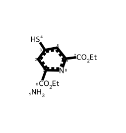 CCOC(=O)c1cc(S)cc(C(=O)OCC)n1.N